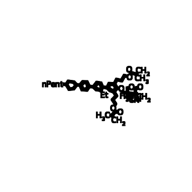 C=C(C)C(=O)OCCCc1cc(-c2ccc(-c3ccc(C4CCC(CCCCC)CC4)cc3)cc2CC)cc(CCCOC(=O)C(=C)C)c1OCC(CC#N)(CC#N)COC(=O)C(=C)C